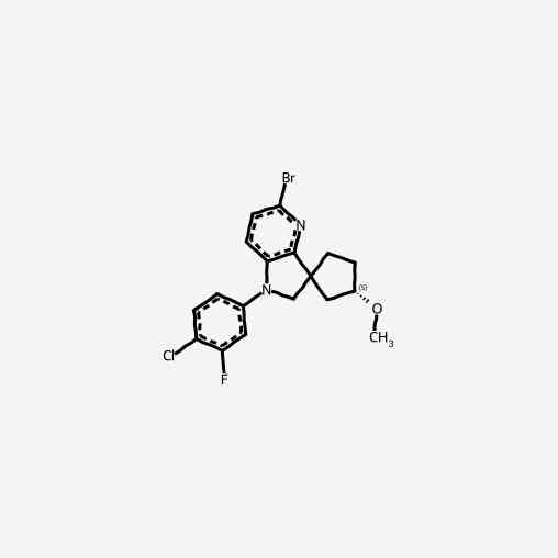 CO[C@H]1CCC2(C1)CN(c1ccc(Cl)c(F)c1)c1ccc(Br)nc12